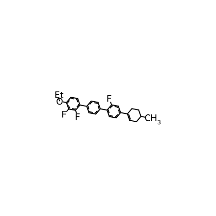 CCOc1ccc(-c2ccc(-c3ccc(C4=CCC(C)CC4)cc3F)cc2)c(F)c1F